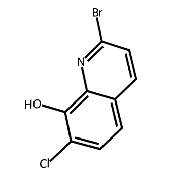 Oc1c(Cl)ccc2ccc(Br)nc12